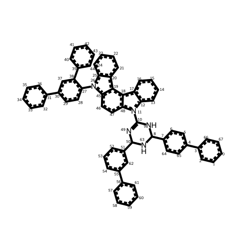 c1ccc(-c2ccc(C3NC(n4c5ccccc5c5c6c7ccccc7n(-c7ccc(-c8ccccc8)cc7-c7ccccc7)c6ccc54)=NC(c4cccc(-c5ccccc5)c4)N3)cc2)cc1